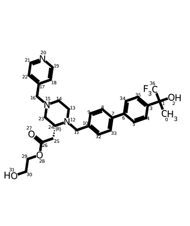 CC(O)(c1ccc(-c2ccc(CN3CCN(Cc4ccncc4)C[C@H]3CC(=O)OCCO)cc2)cc1)C(F)(F)F